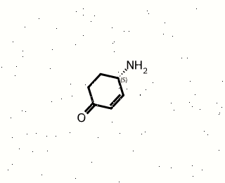 N[C@@H]1C=CC(=O)CC1